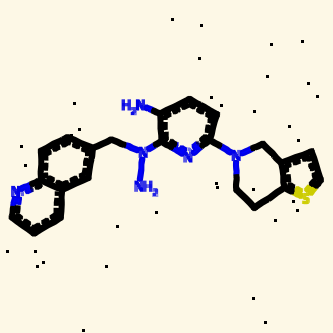 Nc1ccc(N2CCc3sccc3C2)nc1N(N)Cc1ccc2ncccc2c1